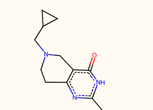 Cc1nc2c(c(=O)[nH]1)CN(CC1CC1)CC2